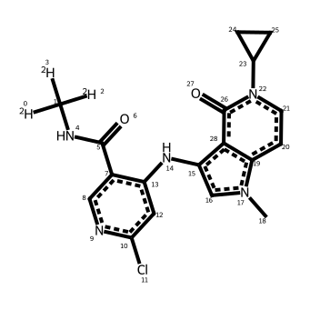 [2H]C([2H])([2H])NC(=O)c1cnc(Cl)cc1Nc1cn(C)c2ccn(C3CC3)c(=O)c12